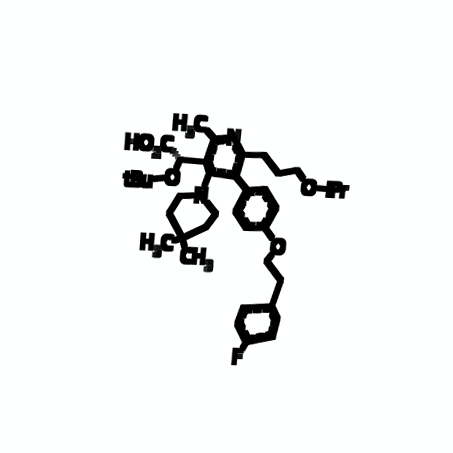 Cc1nc(CCCOC(C)C)c(-c2ccc(OCCc3ccc(F)cc3)cc2)c(N2CCC(C)(C)CC2)c1[C@H](OC(C)(C)C)C(=O)O